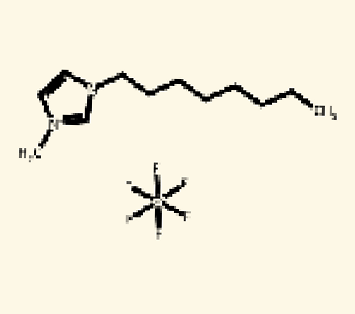 CCCCCCCCn1cc[n+](C)c1.F[P-](F)(F)(F)(F)F